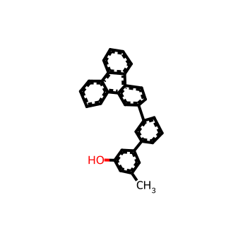 Cc1cc(O)cc(-c2cccc(-c3ccc4c5ccccc5c5ccccc5c4c3)c2)c1